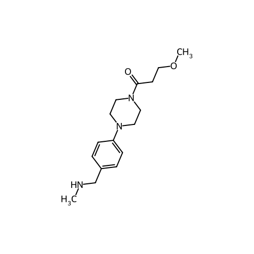 CNCc1ccc(N2CCN(C(=O)CCOC)CC2)cc1